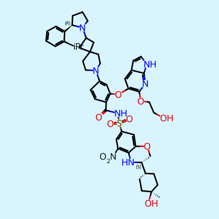 CC(C)c1ccccc1[C@H]1CCCN1C1CC2(CCN(c3ccc(C(=O)NS(=O)(=O)c4cc5c(c([N+](=O)[O-])c4)N[C@@H]([C@H]4CC[C@](C)(O)CC4)CO5)c(Oc4cc5cc[nH]c5nc4OCCO)c3)CC2)C1